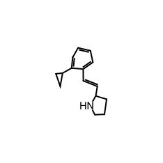 C(=CC1CCCN1)c1ccccc1C1CC1